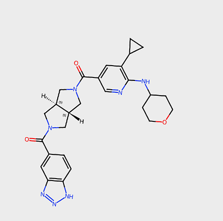 O=C(c1cnc(NC2CCOCC2)c(C2CC2)c1)N1C[C@@H]2CN(C(=O)c3ccc4[nH]nnc4c3)C[C@H]2C1